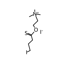 C[N+](C)(C)CCOC(=S)CCCI.[I-]